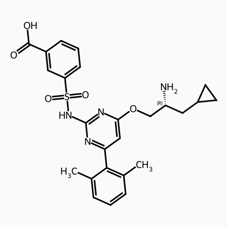 Cc1cccc(C)c1-c1cc(OC[C@H](N)CC2CC2)nc(NS(=O)(=O)c2cccc(C(=O)O)c2)n1